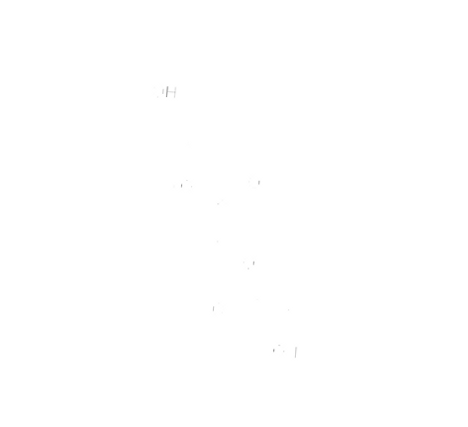 O=C(CO)OCC(=O)OCCO